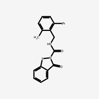 Cc1cccc(C(C)C)c1CNC(=O)n1sc2ccccc2c1=O